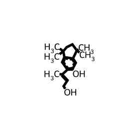 CC(=CCO)c1cc2c(cc1O)C(C)(C)CCC2(C)C